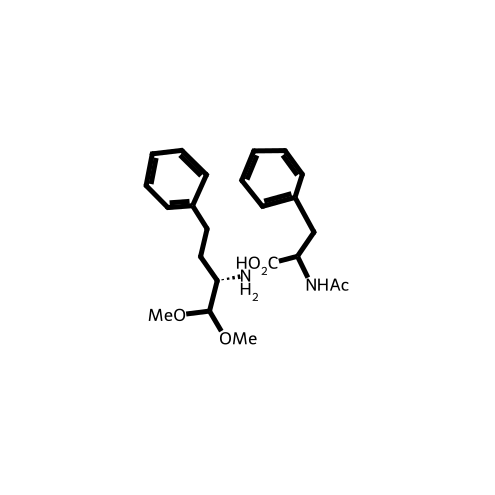 CC(=O)NC(Cc1ccccc1)C(=O)O.COC(OC)[C@@H](N)CCc1ccccc1